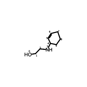 OCCNC1C=CCCC1